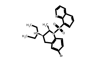 CC[SiH](CC)[C@@H]1Cc2cc(Br)ccc2N(S(=O)(=O)c2cccc3cccnc23)[C@@H]1C